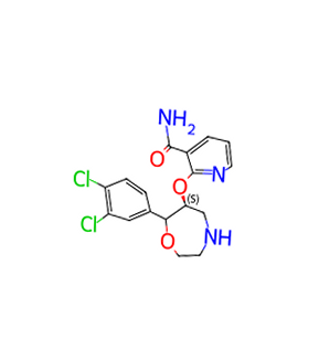 NC(=O)c1cccnc1O[C@H]1CNCCOC1c1ccc(Cl)c(Cl)c1